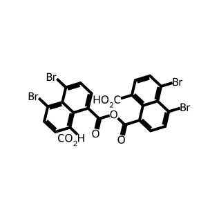 O=C(O)c1ccc(Br)c2c(Br)ccc(C(=O)OC(=O)c3ccc(Br)c4c(Br)ccc(C(=O)O)c34)c12